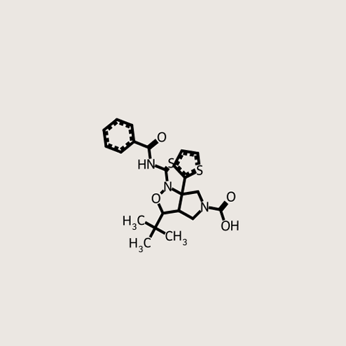 CC(C)(C)C1ON(C(=S)NC(=O)c2ccccc2)C2(c3cccs3)CN(C(=O)O)CC12